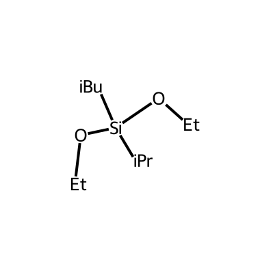 CCO[Si](OCC)(C(C)C)C(C)CC